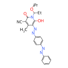 CCC(OC(C)C)n1c(O)c(N=Nc2ccc(N=Nc3ccccc3)cc2)c(C)c(C#N)c1=O